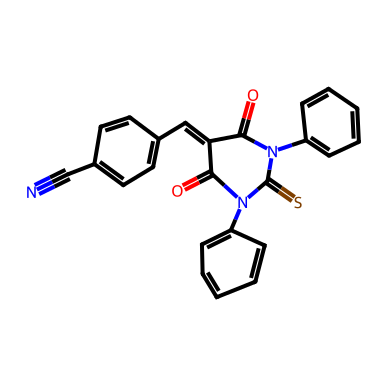 N#Cc1ccc(C=C2C(=O)N(c3ccccc3)C(=S)N(c3ccccc3)C2=O)cc1